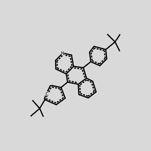 CC(C)(C)c1ccc(-c2c3ccccc3c(-c3ccc(C(C)(C)C)cc3)c3cnccc23)cc1